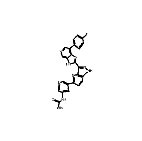 CCCCC(=O)Nc1cncc(-c2ccc3[nH]nc(-c4nc5c(-c6ccc(F)cc6)cncc5[nH]4)c3n2)c1